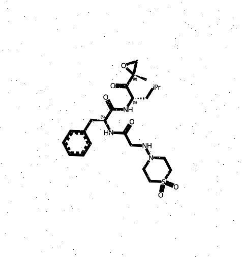 CC(C)C[C@H](NC(=O)[C@H](Cc1ccccc1)NC(=O)CNN1CCS(=O)(=O)CC1)C(=O)[C@@]1(C)CO1